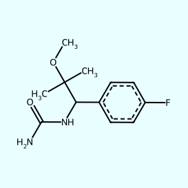 COC(C)(C)C(NC(N)=O)c1ccc(F)cc1